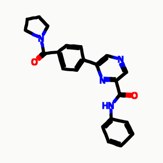 O=C(Nc1ccccc1)c1cncc(-c2ccc(C(=O)N3CCCC3)cc2)n1